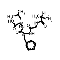 CC(C)C[C@H](NC(=O)[C@H](Cc1ccccc1)NC(=O)CNC(=O)C(C)(C)N)C(=O)O